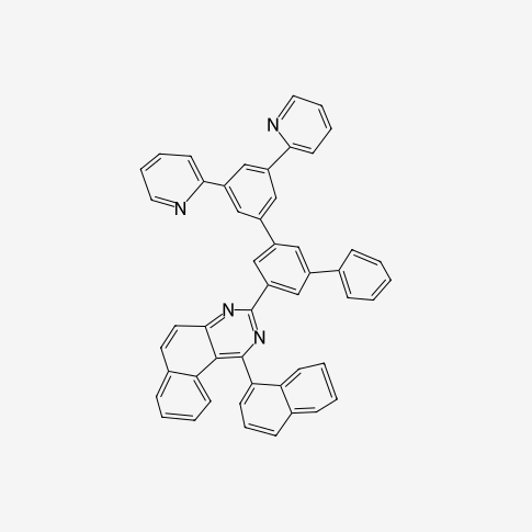 c1ccc(-c2cc(-c3cc(-c4ccccn4)cc(-c4ccccn4)c3)cc(-c3nc(-c4cccc5ccccc45)c4c(ccc5ccccc54)n3)c2)cc1